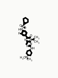 CC(C)n1c(=O)c(-c2ccc(NS(=O)(=O)C3C4CCCCC43)c(F)c2)nc2cnc(NC3CCC(N(C)C)CC3)nc21